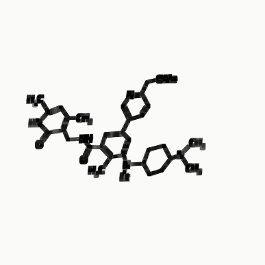 CCN(c1cc(-c2ccc(COC)nc2)cc(C(=O)NCc2c(C)cc(C)[nH]c2=O)c1C)C1CCC(N(C)C)CC1